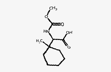 COC(=O)NC(C(=O)O)C1(C)CCCCC1